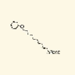 CCCCCC=[C]CC=CCCCCCOc1ccccc1